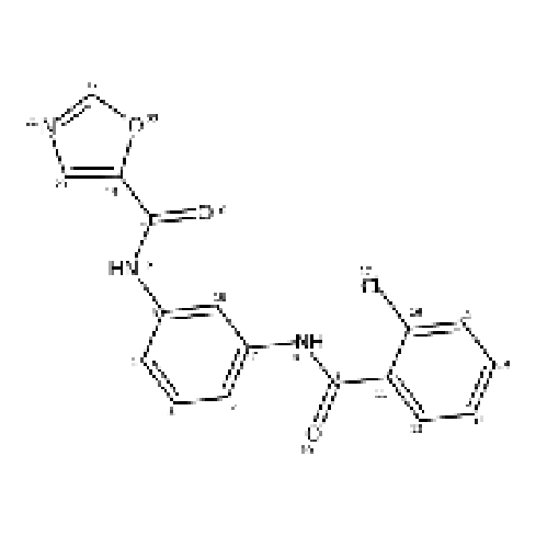 O=C(Nc1cccc(NC(=O)c2ccccc2Cl)c1)c1cnco1